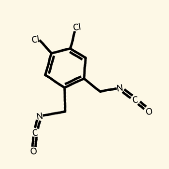 O=C=NCc1cc(Cl)c(Cl)cc1CN=C=O